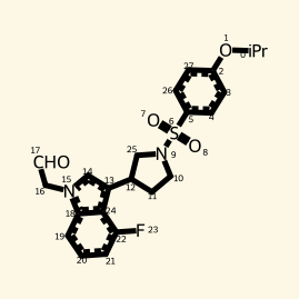 CC(C)Oc1ccc(S(=O)(=O)N2CCC(c3cn(CC=O)c4cccc(F)c34)C2)cc1